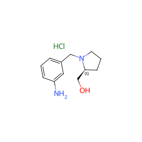 Cl.Nc1cccc(CN2CCC[C@H]2CO)c1